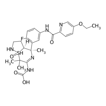 CCOc1ccc(C(=O)Nc2ccc(F)c([C@@]3(C)N=C(NC(=O)O)C(C)(C)[SH]4(=O)NCC[C@@H]34)c2)nc1